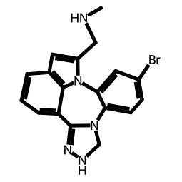 CNCc1cc2cccc3c4n(c5ccc(Br)cc5n1c23)CNN=4